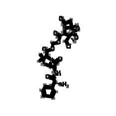 CC1(C)SC2C(NC(=O)[C@H](N)c3ccccc3)C(=O)N2C1C(=O)OCOC(=O)[C@@H]1N2C(=O)C[C@@H]2S(=O)(=O)[C@@]1(C)CCl